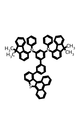 CC1(C)c2ccccc2-c2c(N(c3ccccc3)c3cc(-c4cccc(-c5cccc6sc7c8ccccc8c8ccccc8c7c56)c4)cc(N(c4ccccc4)c4cccc5c4-c4ccccc4C5(C)C)c3)cccc21